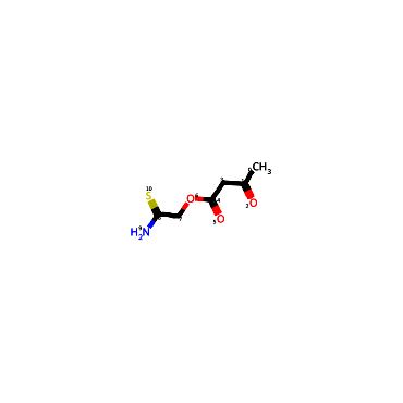 CC(=O)CC(=O)OCC(N)=S